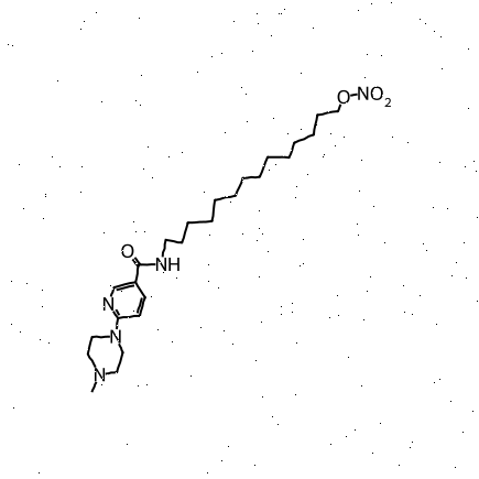 CN1CCN(c2ccc(C(=O)NCCCCCCCCCCCCCCO[N+](=O)[O-])cn2)CC1